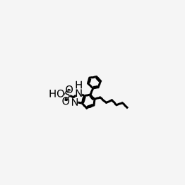 CCCCCCc1ccc2nc(S(=O)(=O)O)[nH]c2c1-c1ccccc1